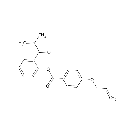 C=CCOc1ccc(C(=O)Oc2ccccc2C(=O)C(=C)C)cc1